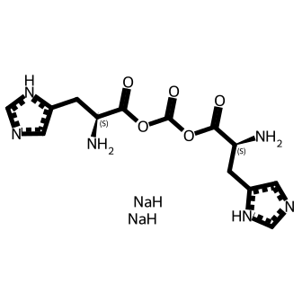 N[C@@H](Cc1cnc[nH]1)C(=O)OC(=O)OC(=O)[C@@H](N)Cc1cnc[nH]1.[NaH].[NaH]